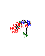 FC(F)(F)CCCCCOc1nsnc1C1=CCCN(C(F)(F)F)C1.O=C(O)[C@H](O)[C@@H](O)C(=O)O